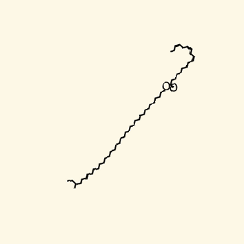 CC/C=C\C/C=C\C/C=C\CCCCCCCC(=O)OCCCCCCCCCCCCCCCCCCCCCCCCCCCCCCCCCC(C)CC